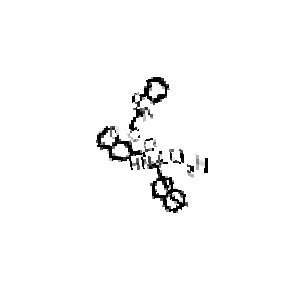 O=C(N[C@H](C(=O)O)C12CCC3CCC(CC3C1)C2)c1ccc2cccnc2c1OCc1nc2ccccc2s1